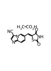 CC(=O)O.N#Cc1cnc2ccc(/C=C3\SC(=O)NC3=O)cn12